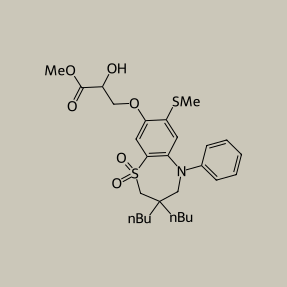 CCCCC1(CCCC)CN(c2ccccc2)c2cc(SC)c(OCC(O)C(=O)OC)cc2S(=O)(=O)C1